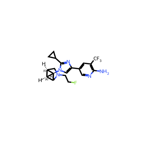 Nc1ncc(-c2cn([C@@]34C5[C@H]3[C@H]4CN5CCF)c(C3CC3)n2)cc1C(F)(F)F